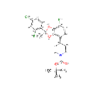 CC(C)(C)OC(=O)N1CCC(c2ccc(F)c3c2OC(C)(c2ccc(Cl)cc2F)O3)CC1